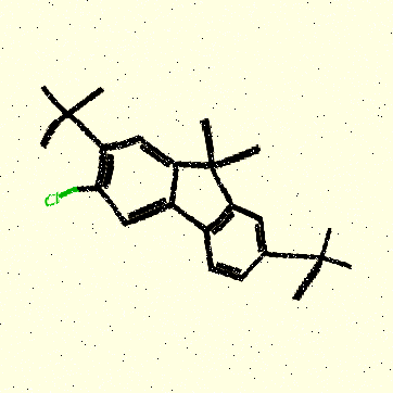 CC(C)(C)c1ccc2c(c1)C(C)(C)c1cc(C(C)(C)C)c(Cl)cc1-2